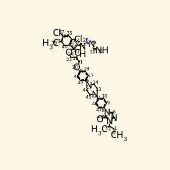 CCC(C)n1ncn(-c2ccc(N3CCN(c4ccc(OCC5COC(CN/C=N\C=N)(C6=C(Cl)C=C(Cl)C(C)C6)O5)cc4)CC3)cc2)c1=O